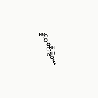 O=C(O)C[C@H]1CC[C@H](c2ccc(NC(=O)CCNC(=O)c3ccc(OCC4CC4)cc3)cc2)CC1